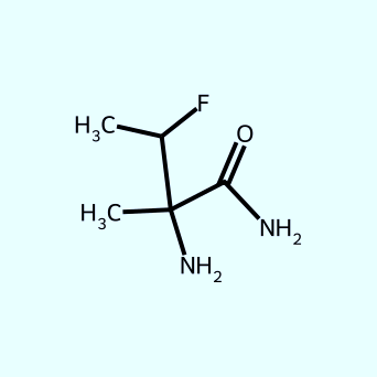 CC(F)C(C)(N)C(N)=O